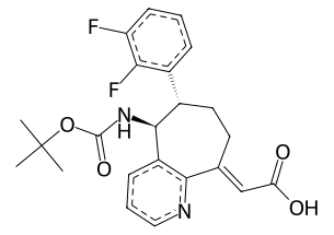 CC(C)(C)OC(=O)N[C@@H]1c2cccnc2/C(=C/C(=O)O)CC[C@H]1c1cccc(F)c1F